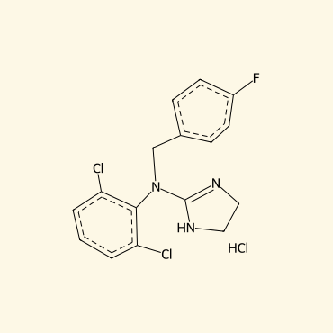 Cl.Fc1ccc(CN(C2=NCCN2)c2c(Cl)cccc2Cl)cc1